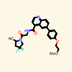 COCCOc1ccc(-c2ccc3nccc(C(=O)NCC(=O)N4CC(F)(F)CC4C#N)c3c2)cc1